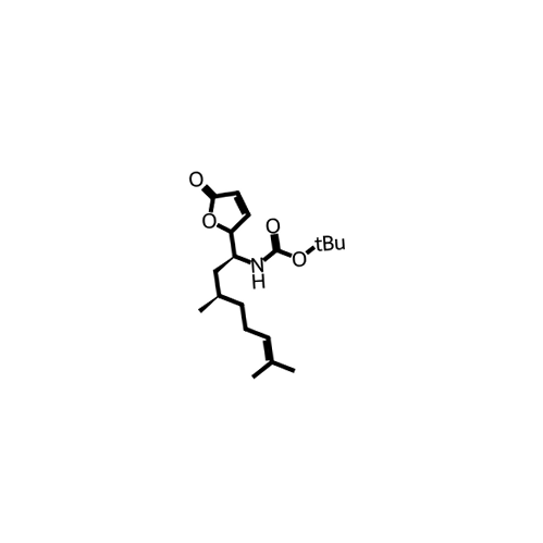 CC(C)=CCC[C@@H](C)C[C@H](NC(=O)OC(C)(C)C)C1C=CC(=O)O1